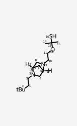 CC(C)(C)CCN1C[C@@H]2C[C@H]1CN2CCOC(C)(C)S